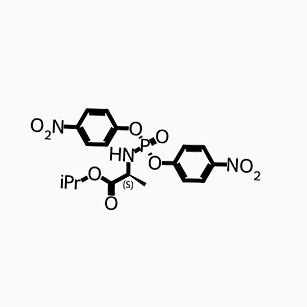 CC(C)OC(=O)[C@H](C)NP(=O)(Oc1ccc([N+](=O)[O-])cc1)Oc1ccc([N+](=O)[O-])cc1